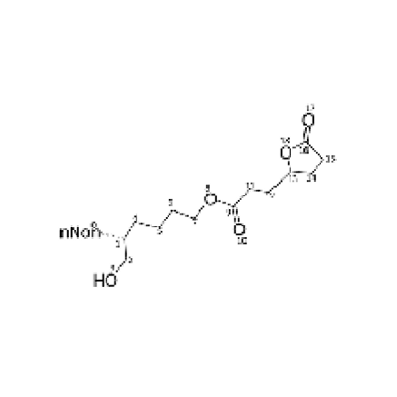 CCCCCCCCC[C@@H](CO)CCCCOC(=O)CCC1CCC(=O)O1